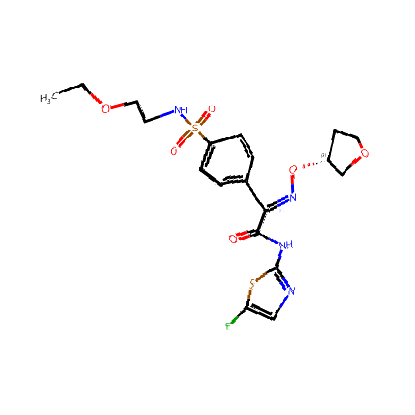 CCOCCNS(=O)(=O)c1ccc(/C(=N\O[C@@H]2CCOC2)C(=O)Nc2ncc(F)s2)cc1